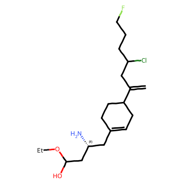 C=C(CC(Cl)CCCF)C1CC=C(C[C@@H](N)CC(O)OCC)CC1